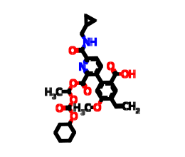 C=Cc1cc(C(=O)O)c(-c2ccc(C(=O)NCC3CC3)nc2C(=O)OC(C)OC(=O)OC2CCCCC2)cc1OC